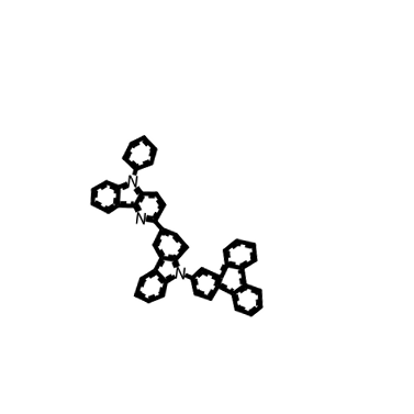 c1ccc(-n2c3ccccc3c3nc(-c4ccc5c(c4)c4ccccc4n5-c4ccc5c6ccccc6c6ccccc6c5c4)ccc32)cc1